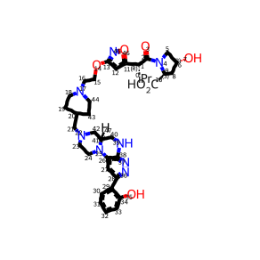 CC(C)[C@@H](C(=O)N1C[C@H](O)C[C@H]1C(=O)O)c1cc(OCCN2CCC(CN3CCN4c5cc(-c6ccccc6O)nnc5NC[C@H]4C3)CC2)no1